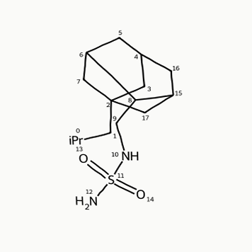 CC(C)CC12CC3CC(C1)C(CNS(N)(=O)=O)C(C3)C2